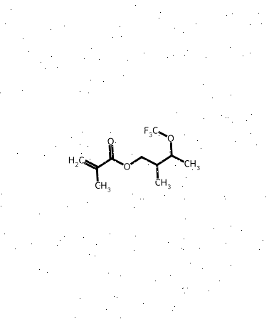 C=C(C)C(=O)OCC(C)C(C)OC(F)(F)F